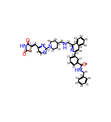 O=C1NC(=O)/C(=C/c2ccnc(N3CCC(CNCc4nc(-c5cccc(C(=O)NCc6ccccc6)c5)cc5ccccc45)CC3)n2)S1